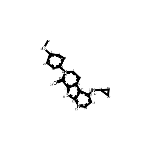 COc1ccc(-n2ccc3c(sc4nccc(NC5CC5)c43)c2=O)cc1